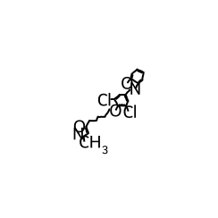 Cc1cc(CCCCCOc2c(Cl)cc(-c3nc4ccccc4o3)cc2Cl)on1